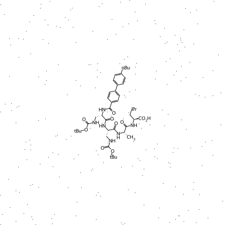 CCCCc1ccc(-c2ccc(C(=O)N[C@@H](CNC(=O)OC(C)(C)C)C(=O)N[C@@H](CNC(=O)OC(C)(C)C)C(=O)N[C@@H](C)C(=O)N[C@@H](CC(C)C)C(=O)O)cc2)cc1